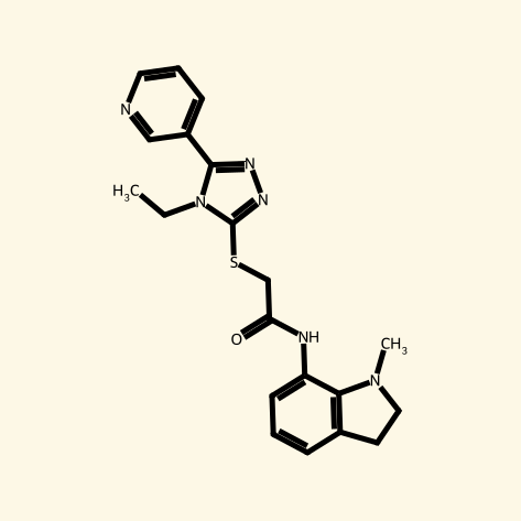 CCn1c(SCC(=O)Nc2cccc3c2N(C)CC3)nnc1-c1cccnc1